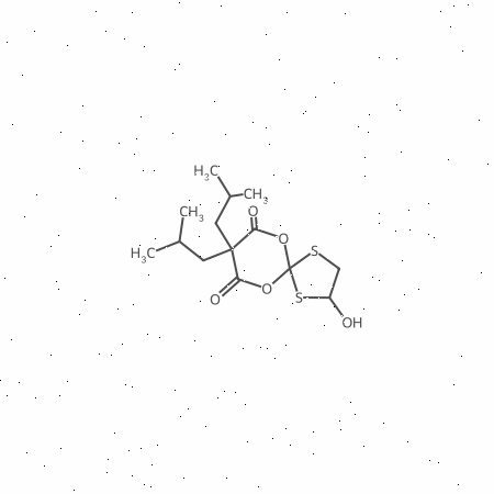 CC(C)CC1(CC(C)C)C(=O)OC2(OC1=O)SCC(O)S2